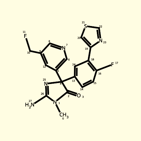 CN1C(=O)C(c2cncc(CF)c2)(c2ccc(F)c(-c3cscn3)c2)N=C1N